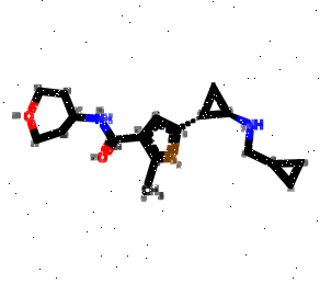 Cc1sc([C@@H]2C[C@H]2NCC2CC2)cc1C(=O)NC1CCOCC1